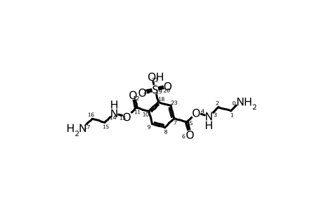 NCCNOC(=O)c1ccc(C(=O)ONCCN)c(S(=O)(=O)O)c1